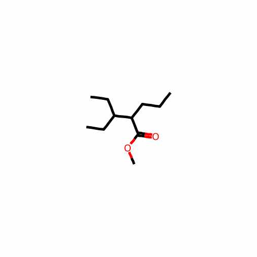 CCCC(C(=O)OC)C(CC)CC